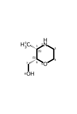 C[C@@H]1NCCO[C@@H]1CO